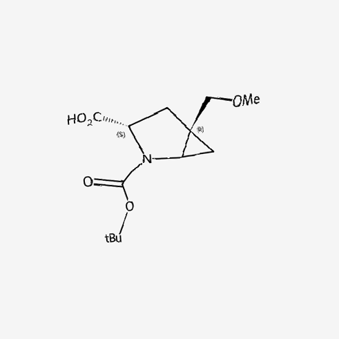 COC[C@@]12CC1N(C(=O)OC(C)(C)C)[C@H](C(=O)O)C2